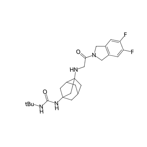 CC(C)(C)NC(=O)NC12CC3CC(C1)C(NCC(=O)N1Cc4cc(F)c(F)cc4C1)(C3)C2